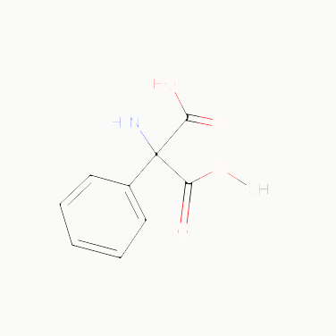 COC(=O)C(N)(C(=O)O)c1ccccc1